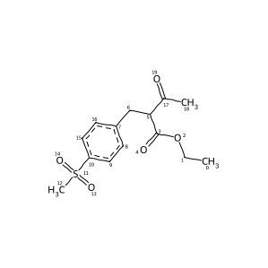 CCOC(=O)C(Cc1ccc(S(C)(=O)=O)cc1)C(C)=O